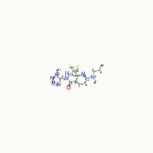 CCCN(C)c1ccc(C(=O)Nc2nnnn2C)c(C(F)(F)F)n1